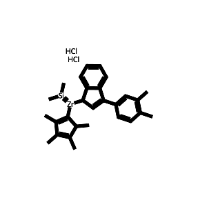 CC1=C(C)C(C)[C]([Zr]([CH]2C=C(c3ccc(C)c(C)c3)c3ccccc32)=[Si](C)C)=C1C.Cl.Cl